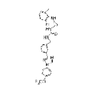 CCc1cccc(C)c1NC1SC1NC(=O)NCc1cccc(-c2ncn(-c3ccc(OC(F)(F)F)cc3)n2)c1